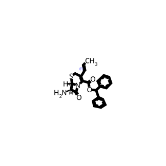 C/C=C/C1=C(C(=O)OC(c2ccccc2)c2ccccc2)N2C(=O)[C@@H](N)[C@@H]2SC1